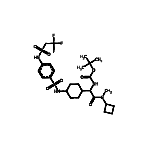 CN(C(=O)C(NC(=O)OC(C)(C)C)C1CCC(NS(=O)(=O)c2ccc(NS(=O)(=O)CC(F)(F)F)cc2)CC1)C1CCC1